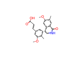 COc1cc(/C=C/C(=O)O)ccc1C.COc1cc2cc[nH]c(=O)c2cc1C